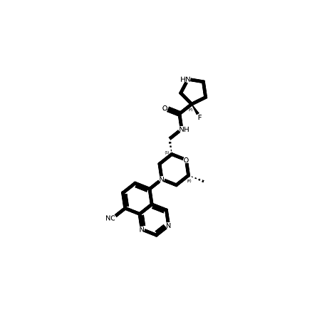 C[C@@H]1CN(c2ccc(C#N)c3ncncc23)C[C@H](CNC(=O)[C@@]2(F)CCNC2)O1